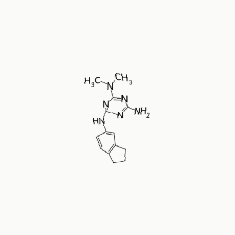 CN(C)c1nc(N)nc(Nc2ccc3c(c2)CCC3)n1